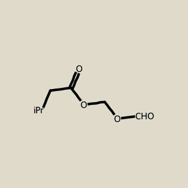 CC(C)CC(=O)OCOC=O